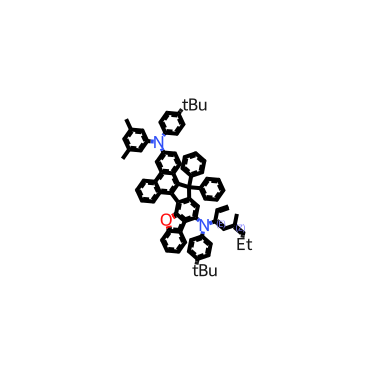 C=C/C(=C\C(C)=C/CC)N(c1ccc(C(C)(C)C)cc1)c1cc2c(c3oc4ccccc4c13)-c1c(c3ccc(N(c4ccc(C(C)(C)C)cc4)c4cc(C)cc(C)c4)cc3c3ccccc13)C2(c1ccccc1)c1ccccc1